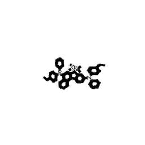 CCc1ccc(N(c2ccccc2)c2ccc3c(c2)C([Si](C)(C)C)([Si](C)(C)C)c2cc(N(c4ccccc4)c4ccc(CC)cc4)c4ccccc4c2-3)cc1